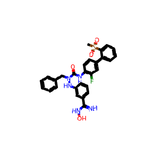 CS(=O)(=O)c1ccccc1-c1ccc(NC(=O)N(Cc2ccccc2)Nc2cccc(C(=N)NO)c2)c(F)c1